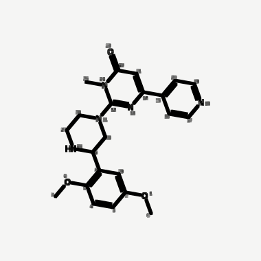 COc1ccc(OC)c(C2CN(c3nc(-c4ccncc4)cc(=O)n3C)CCN2)c1